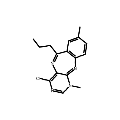 CCCC1=NC2=C(Cl)N=CN(C)C2=Nc2ccc(C)cc21